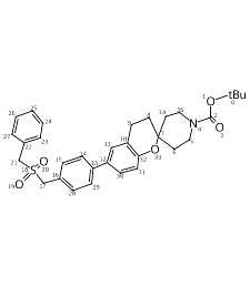 CC(C)(C)OC(=O)N1CCC2(CCc3cc(-c4ccc(CS(=O)(=O)Cc5ccccc5)cc4)ccc3O2)CC1